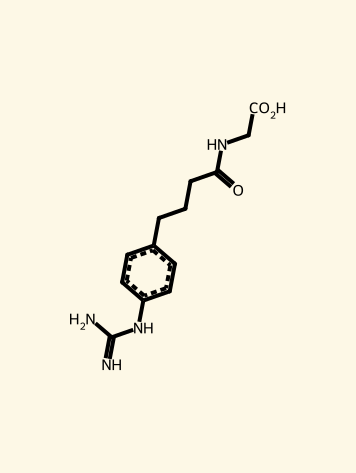 N=C(N)Nc1ccc(CCCC(=O)NCC(=O)O)cc1